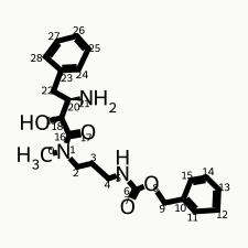 CN(CCCNC(=O)OCc1ccccc1)C(=O)C(O)[C@H](N)Cc1ccccc1